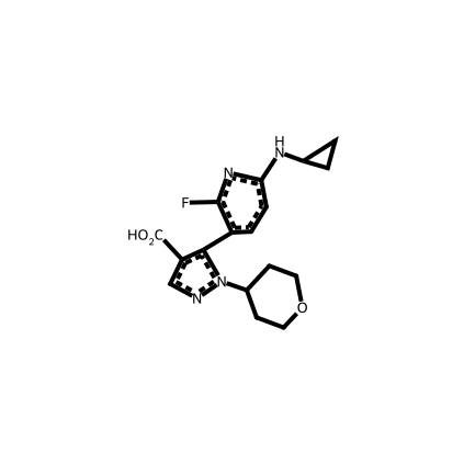 O=C(O)c1cnn(C2CCOCC2)c1-c1ccc(NC2CC2)nc1F